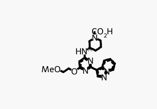 COCCOc1cc(N[C@@H]2CCCN(C(=O)O)C2)nc(-c2cnn3ccccc23)n1